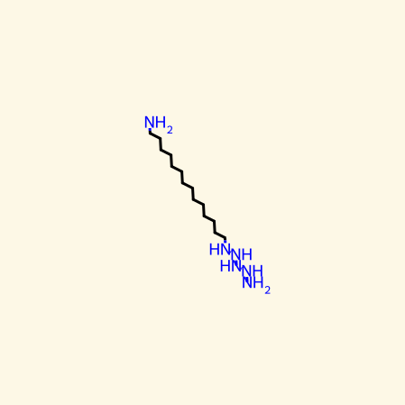 NCCCCCCCCCCCCCCNNNNN